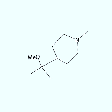 [CH2]C(C)(OC)C1CCN(C)CC1